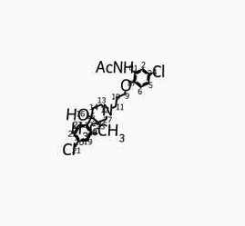 CC(=O)Nc1cc(Cl)ccc1OCCCN1CCC(O)(c2ccc(Cl)cc2)C(C)(C)C1